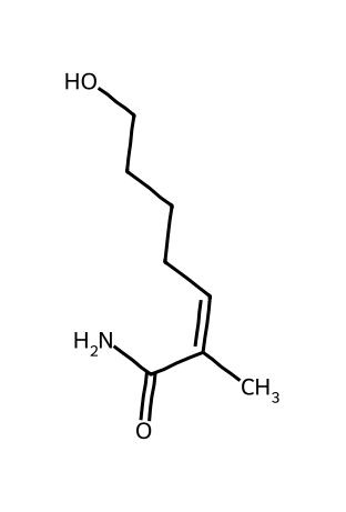 CC(=CCCCCO)C(N)=O